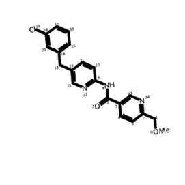 COCc1ccc(C(=O)Nc2ccc(Cc3cccc(Cl)c3)cn2)cn1